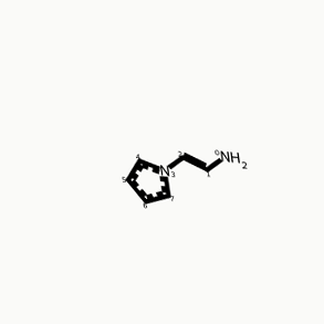 NC=Cn1cccc1